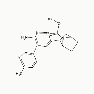 C[C]1=[Y][CH]=C(c2cc(C3CC4CCC3N4C(=O)OC(C)(C)C)cnc2N)C=C1